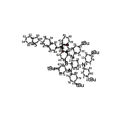 CC(C)(C)c1ccc(N(c2ccc(C(C)(C)C)cc2)c2cc3c4c(c2)N(c2ccc(C(C)(C)C)cc2-c2ccccc2)c2cc(N(c5ccccc5)c5ccc6cc(-c7cc8ccccc8s7)ccc6c5)ccc2B4c2cc(C(C)(C)C)ccc2N3c2ccc(C(C)(C)C)cc2)cc1